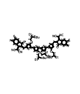 [C-]#[N+]/C(C#N)=C1/C(=C/c2cc(OCC(CC)CCCC)c(-c3cc4c(s3)-c3sc(-c5sc(/C=C6\C(=O)c7cc(F)c(F)cc7C6=C(C#N)C#N)cc5OCC(CC)CCCC)cc3[Si]4(CC(CC)CCCC)CC(CC)CCCC)s2)C(=O)c2cc(F)c(F)cc21